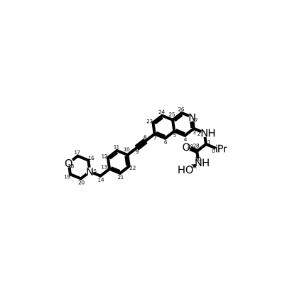 CC(C)C(Nc1cc2cc(C#Cc3ccc(CN4CCOCC4)cc3)ccc2cn1)C(=O)NO